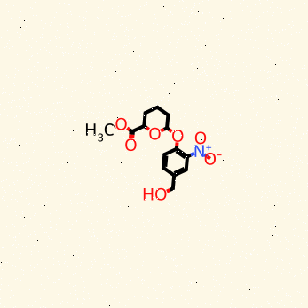 COC(=O)C1CCCC(Oc2ccc(CO)cc2[N+](=O)[O-])O1